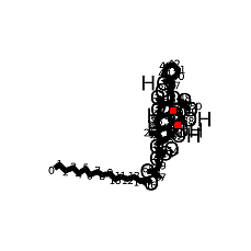 CCCCCCCCCCCCCCCC1OCC(COC(=O)OC2=C(C)[C@@H]3C[C@H]4OC(=O)C(OC(=O)CC5(O)CCCCC5)[C@H]5[C@]6(C(=O)OC)OC[C@]45[C@H]([C@@H](O)[C@@H]6O)[C@@]3(C)[C@H](O)C2=O)O1